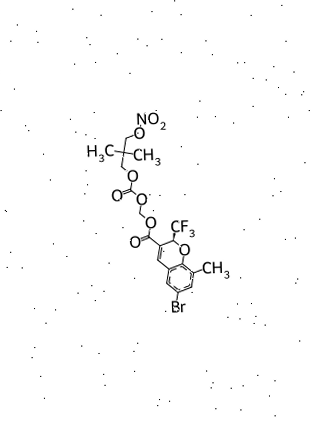 Cc1cc(Br)cc2c1O[C@H](C(F)(F)F)C(C(=O)OCOC(=O)OCC(C)(C)CO[N+](=O)[O-])=C2